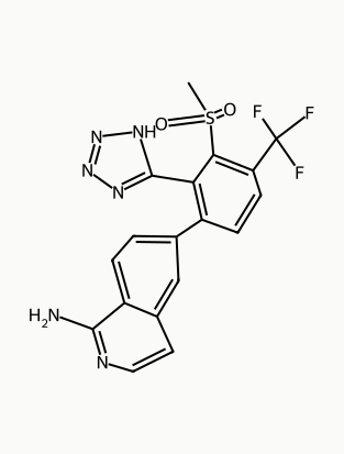 CS(=O)(=O)c1c(C(F)(F)F)ccc(-c2ccc3c(N)nccc3c2)c1-c1nnn[nH]1